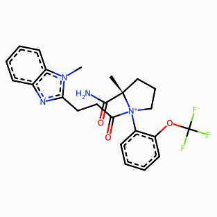 Cn1c(CCC(=O)[N+]2(c3ccccc3OC(F)(F)F)CCC[C@@]2(C)C(N)=O)nc2ccccc21